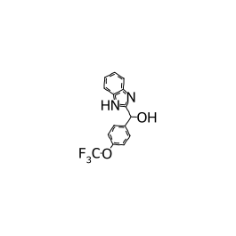 OC(c1ccc(OC(F)(F)F)cc1)c1nc2ccccc2[nH]1